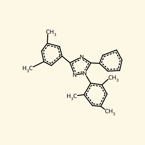 Cc1cc(C)cc(-c2nc(-c3ccccc3)n(-c3c(C)cc(C)cc3C)n2)c1